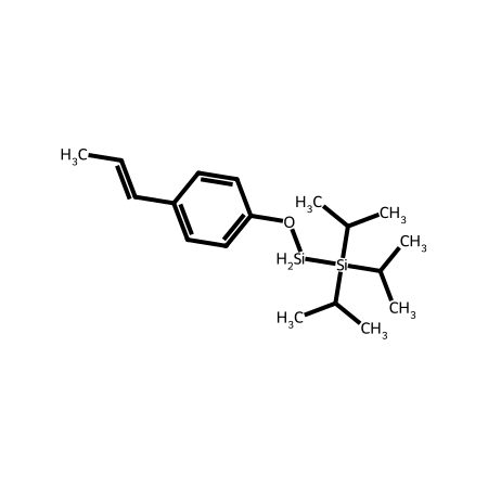 CC=Cc1ccc(O[SiH2][Si](C(C)C)(C(C)C)C(C)C)cc1